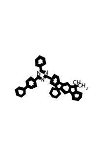 CC1(C)c2ccccc2C2C=C3C(=CC21)c1ccc(-c2nc(-c4ccccc4)nc(-c4ccc(C5=CC=CCC5)cc4)n2)cc1C31CCCCC1